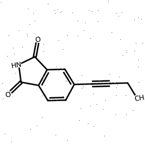 CCC#Cc1ccc2c(c1)C(=O)NC2=O